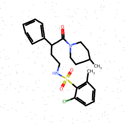 Cc1cccc(Cl)c1S(=O)(=O)NCCC(C(=O)N1CCC(C)CC1)c1ccccc1